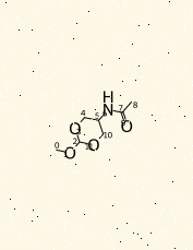 COC1OCC(NC(C)=O)CO1